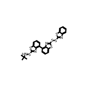 CC(C)(C)NSc1nc2c(-c3cccc4sc(SSc5nc6ccccc6s5)nc34)cccc2s1